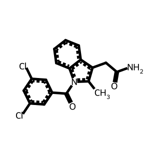 Cc1c(CC(N)=O)c2ccccc2n1C(=O)c1cc(Cl)cc(Cl)c1